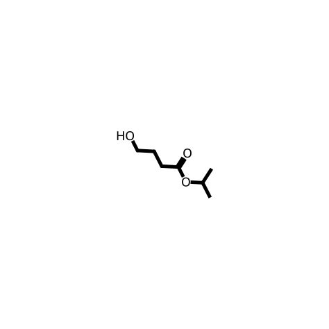 CC(C)OC(=O)CCCO